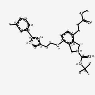 COC(=O)CCc1ccc(OCCc2coc(-c3cccc(C)c3)n2)c2c1CN(C(=O)OC(C)(C)C)C2